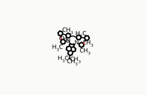 Cc1cccc(N2c3cc(-c4c(C)cccc4C)ccc3Cc3ccc(-c4c(C)cccc4C)cc3N(c3cccc(C)c3)c3cc2c2ccc4cc(C(C)(C)C)cc5ccc3c2c45)c1